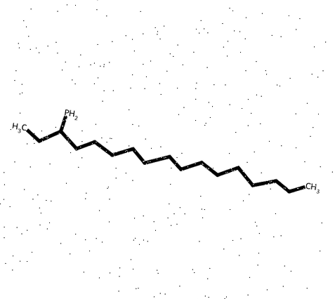 CCCCCCCCCCCCCCC(P)CC